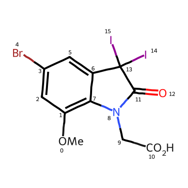 COc1cc(Br)cc2c1N(CC(=O)O)C(=O)C2(I)I